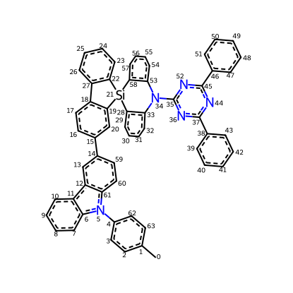 Cc1ccc(-n2c3ccccc3c3cc(-c4ccc5c(c4)[Si]4(c6ccccc6-5)c5ccccc5N(c5nc(-c6ccccc6)nc(-c6ccccc6)n5)c5ccccc54)ccc32)cc1